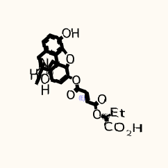 CC[C@H](OC(=O)/C=C/C(=O)OC1=CC[C@@]2(O)[C@H]3Cc4ccc(O)c5c4C2(CCN3C)C1O5)C(=O)O